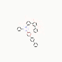 Bc1c(B)c(B)c(-c2c(B)c(B)c(B)c3c2oc2c(-c4nc(-c5ccccc5)nc(-c5ccc(-c6ccc(-c7ccccc7)cc6)cc5)n4)c(B)c(B)c(B)c23)c(B)c1B